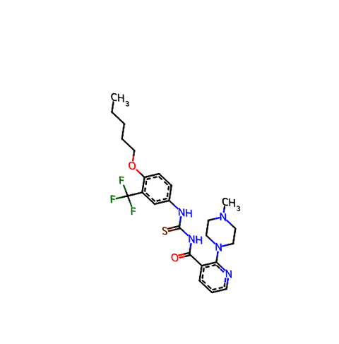 CCCCCOc1ccc(NC(=S)NC(=O)c2cccnc2N2CCN(C)CC2)cc1C(F)(F)F